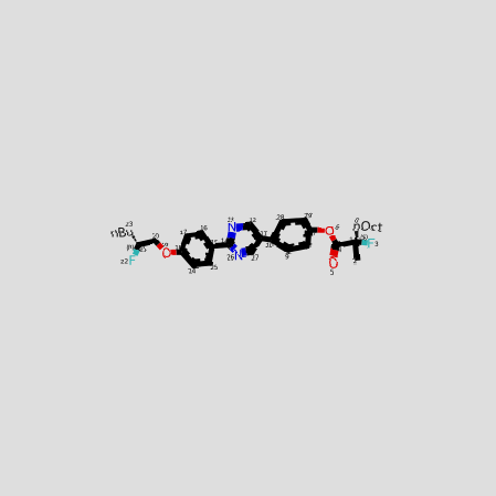 CCCCCCCC[C@](C)(F)C(=O)Oc1ccc(-c2cnc(-c3ccc(OC[C@H](F)CCCC)cc3)nc2)cc1